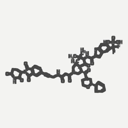 CC(C)(C)C(NC(=O)c1cc2cc(C(F)(F)P(=O)(O)O)ccc2s1)C(=O)N1CCN(C(=O)CC(=O)NCC#Cc2ccc3c(c2)C(=O)N(C2CCC(=O)NC2=O)C3=O)C[C@H]1C(=O)N1CCO[C@H](c2ccccc2)C1